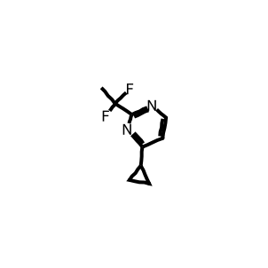 CC(F)(F)c1nccc(C2CC2)n1